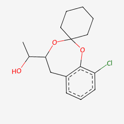 CC(O)C1Cc2cccc(Cl)c2OC2(CCCCC2)O1